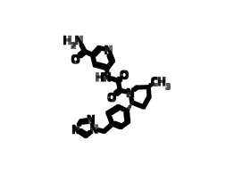 C[C@H]1CC[C@H](c2ccc(Cn3cncn3)cc2)N(C(=O)C(=O)Nc2cncc(C(N)=O)c2)C1